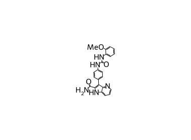 COc1ccccc1NC(=O)Nc1ccc(-c2c(C(N)=O)[nH]c3cccnc23)cc1